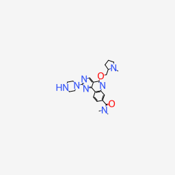 CN(C)C(=O)c1ccc2c(c1)nc(OCC1CCCN1C)c1cnc(N3CCNCC3)nc12